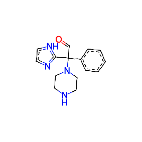 O=CC(c1ccccc1)(c1ncc[nH]1)N1CCNCC1